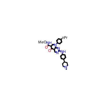 CCCc1ccc(-n2cc(C(=O)NOC)c(=O)c3cnc(Nc4ccc(C5CCN(C)CC5)cc4)nc32)cc1